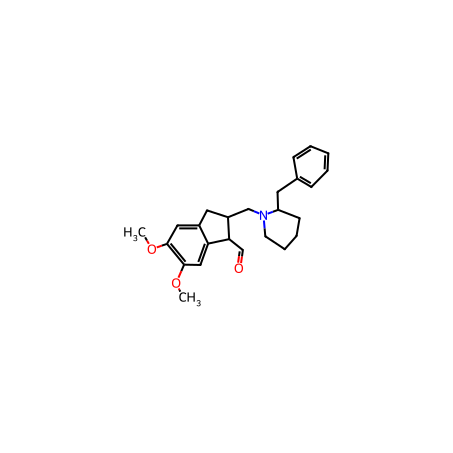 COc1cc2c(cc1OC)C(C=O)C(CN1CCCCC1Cc1ccccc1)C2